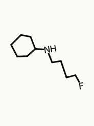 FCCCCNC1CCCCC1